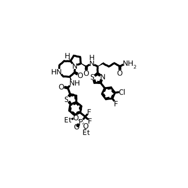 CCOP(=O)(OCC)C(F)(F)c1ccc2sc(C(=O)N[C@H]3CNCC[C@H]4CC[C@@H](C(=O)N[C@@H](CCCC(N)=O)c5nc(-c6ccc(F)c(Cl)c6)cs5)N4C3=O)cc2c1